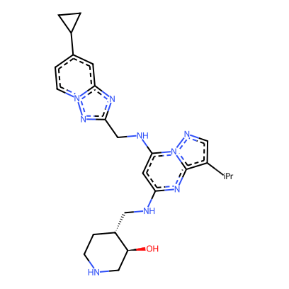 CC(C)c1cnn2c(NCc3nc4cc(C5CC5)ccn4n3)cc(NC[C@H]3CCNC[C@@H]3O)nc12